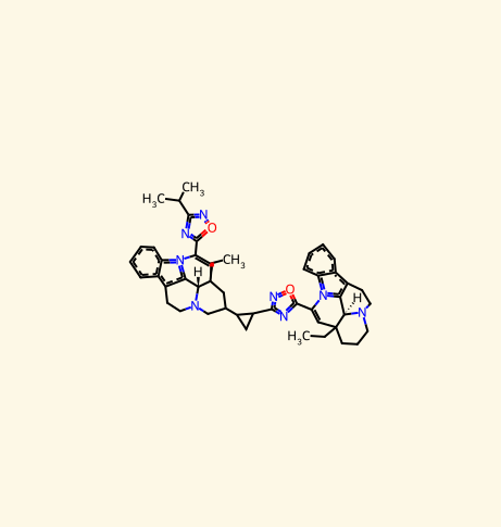 CCC12C=C(c3nc(C4CC4C4CN5CCc6c7n(c8ccccc68)C(c6nc(C(C)C)no6)=C[C@](CC)(C4)[C@@H]75)no3)n3c4c(c5ccccc53)CCN(CCC1)[C@H]42